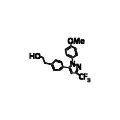 COc1ccc(-n2nc(C(F)(F)F)cc2-c2ccc(CCO)cc2)cc1